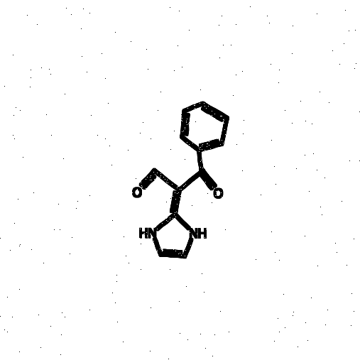 O=CC(C(=O)c1ccccc1)=C1NC=CN1